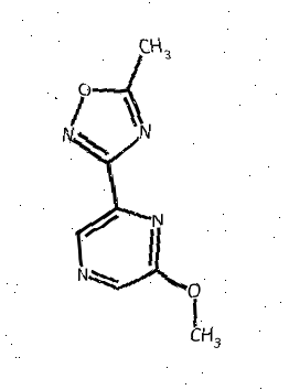 COc1cncc(-c2noc(C)n2)n1